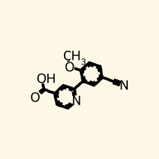 COc1ccc(C#N)cc1-c1cc(C(=O)O)ccn1